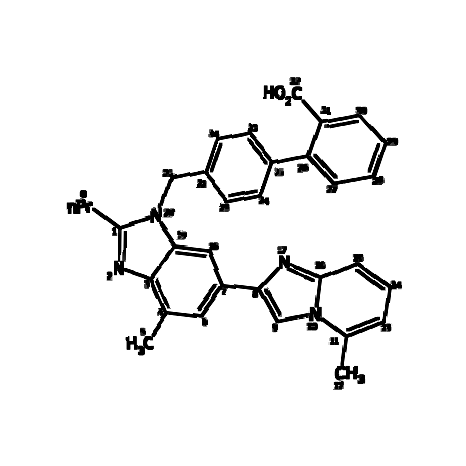 CCCc1nc2c(C)cc(-c3cn4c(C)cccc4n3)cc2n1Cc1ccc(-c2ccccc2C(=O)O)cc1